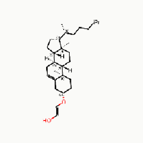 CC(C)CCC[C@@H](C)[C@H]1CC[C@H]2[C@@H]3CC=C4C[C@@H](OC=CO)CC[C@]4(C)[C@H]3CC[C@]12C